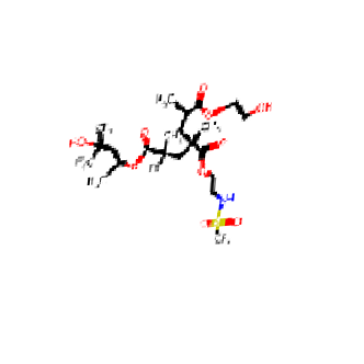 CCC(C)(CC(C)(CC(C)C(=O)OCCO)C(=O)OCCNS(=O)(=O)C(F)(F)F)C(=O)OC(C)CC(O)(C(F)(F)F)C(F)(F)F